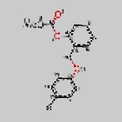 COC(=O)Oc1ccccc1COc1ccc(C)cc1